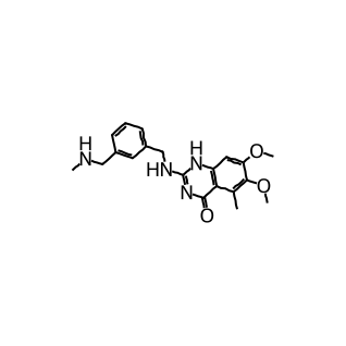 CNCc1cccc(CNc2nc(=O)c3c(C)c(OC)c(OC)cc3[nH]2)c1